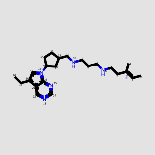 C/C=C(\C)CCNCCCNCC1CCC(n2cc(CC)c3cncnc32)C1